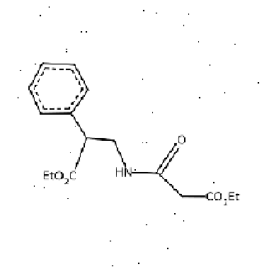 CCOC(=O)CC(=O)NCC(C(=O)OCC)c1ccccc1